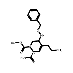 CC(C)(C)OC(=O)N1CC(NOCc2ccccc2)C(CC[N+](=O)[O-])=C[C@H]1C(N)=O